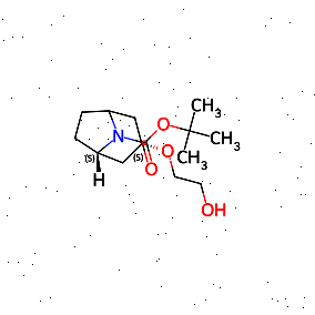 CC(C)(C)OC(=O)N1C2CC[C@H]1C[C@@H](OCCO)C2